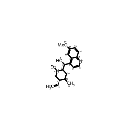 C=C[C@H]1CN(CC)C(C(O)c2ccnc3ccc(OC)cc23)CC1C